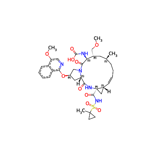 COC[C@@H]1C[C@@H](C)CCC=C[C@@H]2C[C@@]2(C(=O)NS(=O)(=O)C2(C)CC2)NC(=O)[C@@H]2C[C@@H](Oc3ncc(OC)c4ccccc34)CN2C(=O)[C@H]1NC(=O)O